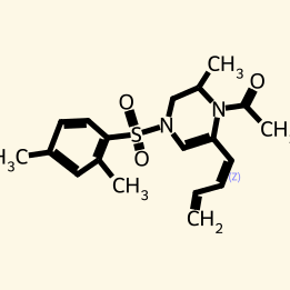 C=C/C=C\C1=CN(S(=O)(=O)c2ccc(C)cc2C)CC(C)N1C(C)=O